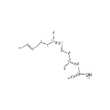 CC=CCC/C(C)=C\CC/C(C)=C/C(=O)O